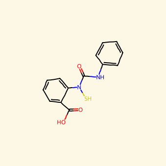 O=C(O)c1ccccc1N(S)C(=O)Nc1ccccc1